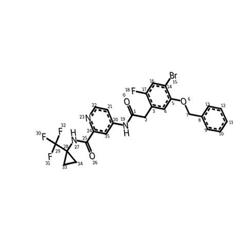 O=C(Cc1cc(OCc2ccccc2)c(Br)cc1F)Nc1ccnc(C(=O)NC2(C(F)(F)F)CC2)c1